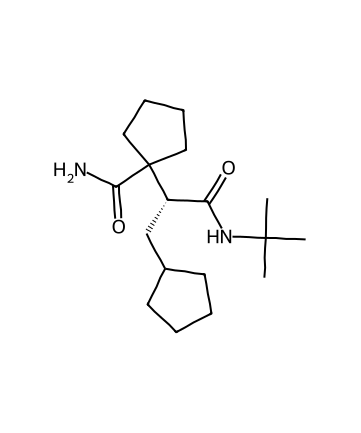 CC(C)(C)NC(=O)[C@H](CC1CCCC1)C1(C(N)=O)CCCC1